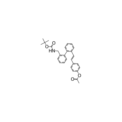 CC(=O)Oc1ccc(/C=C/c2ccccc2-c2ccccc2CNC(=O)OC(C)(C)C)cc1